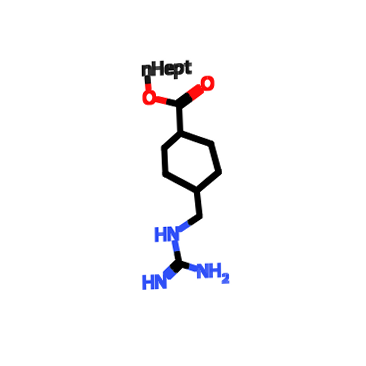 CCCCCCCOC(=O)C1CCC(CNC(=N)N)CC1